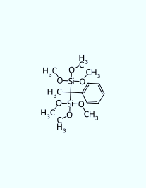 CO[Si](OC)(OC)C(C)(c1ccccc1)[Si](OC)(OC)OC